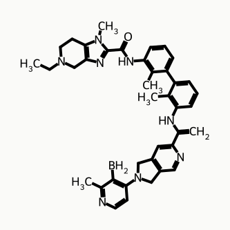 Bc1c(N2Cc3cnc(C(=C)Nc4cccc(-c5cccc(NC(=O)c6nc7c(n6C)CCN(CC)C7)c5C)c4C)cc3C2)ccnc1C